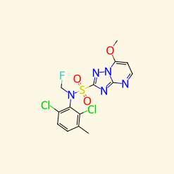 COc1ccnc2nc(S(=O)(=O)N(CF)c3c(Cl)ccc(C)c3Cl)nn12